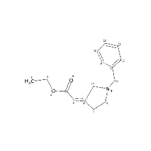 CCOC(=O)C=C1CCN(Cc2ccccc2)C1